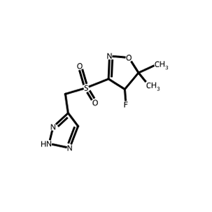 CC1(C)ON=C(S(=O)(=O)Cc2cn[nH]n2)C1F